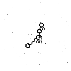 O=C(CC(CCCCc1ccccc1)C(=O)O)c1ccc2c3c(oc2c1)CCCC3